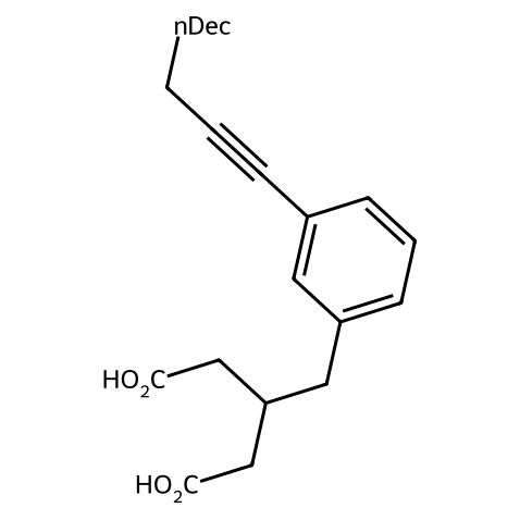 CCCCCCCCCCCC#Cc1cccc(CC(CC(=O)O)CC(=O)O)c1